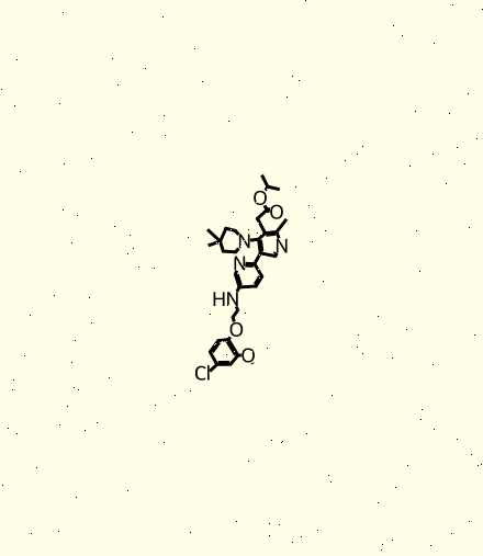 COc1cc(Cl)ccc1OCCNc1ccc(-c2cnc(C)c(CC(=O)OC(C)C)c2N2CCC(C)(C)CC2)nc1